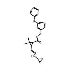 CC1(C)C(C=NNC2CC2)C1C(=O)OCc1cccc(Oc2ccccc2)c1